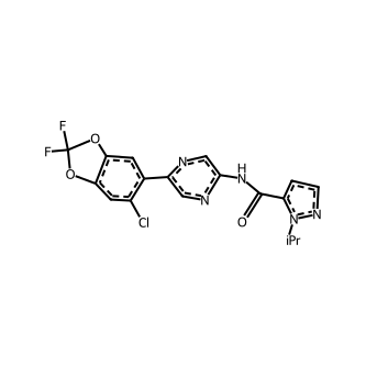 CC(C)n1nccc1C(=O)Nc1cnc(-c2cc3c(cc2Cl)OC(F)(F)O3)cn1